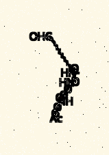 C=C(C)C(CCC(=O)NCCOCCOCC(=O)NCCOCCOCC(C)=O)NC(=O)CCCCCCCCCCCCCCCCC=O